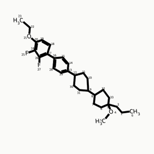 CCCC1(OC)CCC(C2CCC(c3ccc(-c4ccc(OCC)c(F)c4F)cc3)CC2)CC1